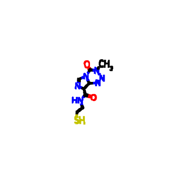 CN1N=NC2C(C(=O)NCCS)N=CN2C1=O